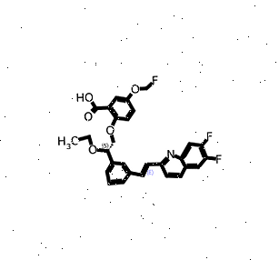 CCO[C@H](COc1ccc(OCF)cc1C(=O)O)c1cccc(/C=C/c2ccc3cc(F)c(F)cc3n2)c1